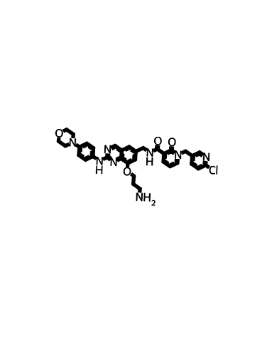 NCCCOc1cc(CNC(=O)c2cccn(Cc3ccc(Cl)nc3)c2=O)cc2cnc(Nc3ccc(N4CCOCC4)cc3)nc12